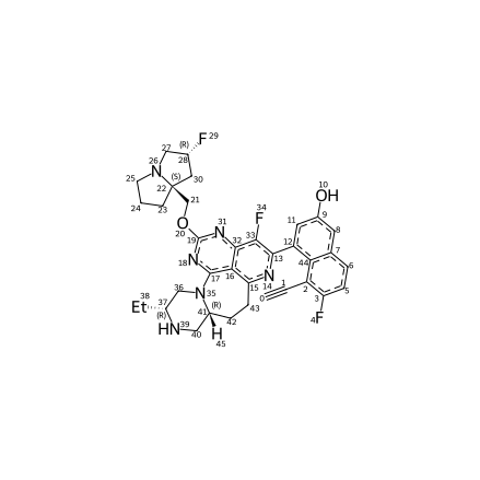 C#Cc1c(F)ccc2cc(O)cc(-c3nc4c5c(nc(OC[C@@]67CCCN6C[C@H](F)C7)nc5c3F)N3C[C@@H](CC)NC[C@H]3CC4)c12